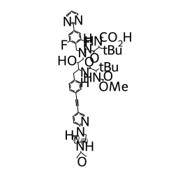 COC(=O)NC(C(=O)NC(Cc1ccc(C#Cc2ccc(N3C[C@H]4C[C@@H]3CN4C3COC3)nc2)cc1)C(O)CN(Cc1c(F)cc(-c2ncccn2)cc1F)NC(=O)C(NC(=O)O)C(C)(C)C)C(C)(C)C